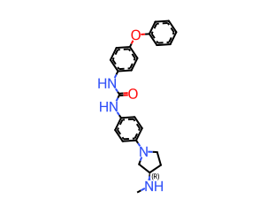 CN[C@@H]1CCN(c2ccc(NC(=O)Nc3ccc(Oc4ccccc4)cc3)cc2)C1